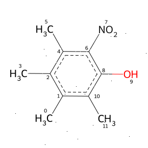 Cc1c(C)c(C)c([N+](=O)[O-])c(O)c1C